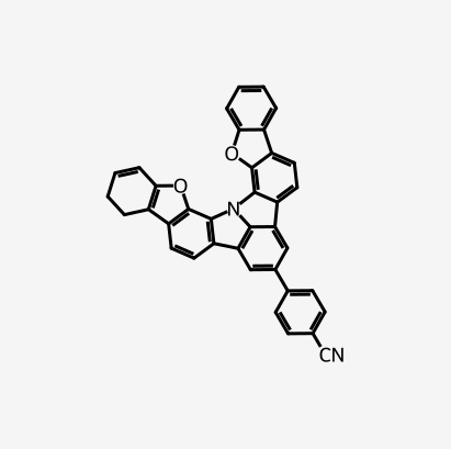 N#Cc1ccc(-c2cc3c4ccc5c6c(oc5c4n4c3c(c2)c2ccc3c5ccccc5oc3c24)C=CCC6)cc1